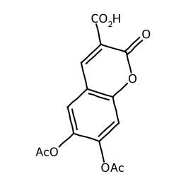 CC(=O)Oc1cc2cc(C(=O)O)c(=O)oc2cc1OC(C)=O